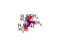 COCNC(=O)c1c(I)c(C(=O)NCC(COC(C)=O)OC(C)=O)c(I)c(C(=O)N(C)CC(COC(C)=O)OC(C)=O)c1I